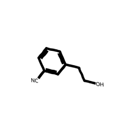 N#Cc1cccc([CH]CO)c1